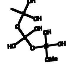 CO[Si](O)(O)O[Si](O)(O)O[Si](C)(O)O